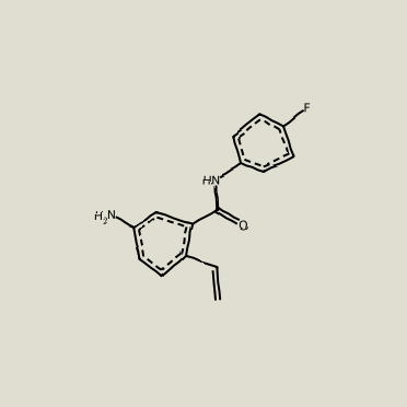 C=Cc1ccc(N)cc1C(=O)Nc1ccc(F)cc1